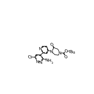 CC(C)(C)OC(=O)N1CCN(c2ccnc(-c3cc(Cl)nnc3N)c2)C(=O)C1